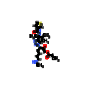 CCC(=O)OCC(=O)C(CCCCNC)n1cc([C@@](C)(NC(=O)c2ccsc2)C(C)C)nn1